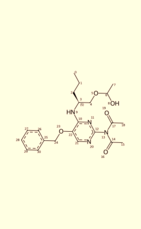 CCC[C@@H](COC(C)O)Nc1nc(N(C(C)=O)C(C)=O)ncc1OCc1ccccc1